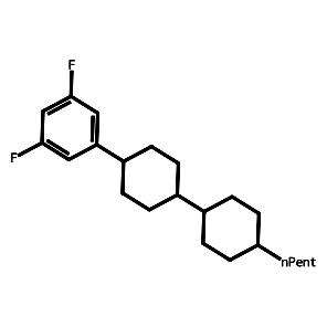 CCCCCC1CCC(C2CCC(c3cc(F)cc(F)c3)CC2)CC1